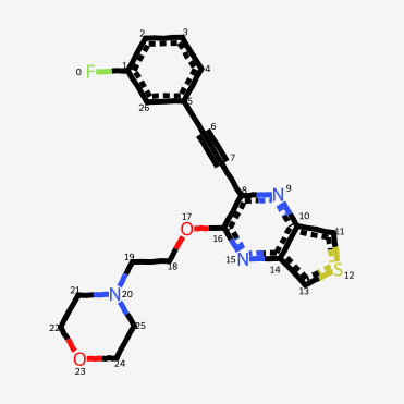 Fc1cccc(C#Cc2nc3cscc3nc2OCCN2CCOCC2)c1